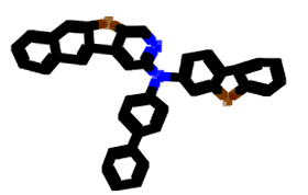 c1ccc(-c2ccc(N(c3ccc4c(c3)sc3ccccc34)c3cc4c(cn3)sc3cc5ccccc5cc34)cc2)cc1